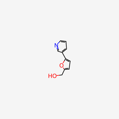 OCc1ccc(-c2cccnc2)o1